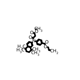 C=CCOC(=O)c1ccc(N(C(=O)CC(=O)OC)c2ccc3c(c2)C(C)(C)CCC3(C)C)cc1